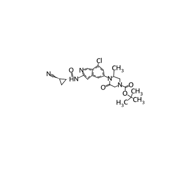 CC1CN(C(=O)OC(C)(C)C)CC(=O)N1c1cc(Cl)c2cnc(NC(=O)[C@@H]3C[C@H]3C#N)cc2c1